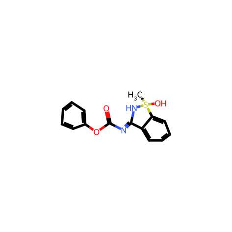 CS1(O)NC(=NC(=O)Oc2ccccc2)c2ccccc21